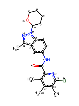 Cc1c(C(=O)Nc2ccc3c(c2)c(C(F)(F)F)nn3C2CCCCO2)nc(Cl)c(C#N)c1C